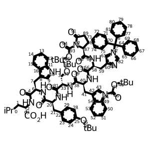 CC(C)C[C@H](NC(=O)[C@@H](Cc1c[nH]c2ccccc12)NC(=O)[C@H](Cc1ccc(OC(C)(C)C)cc1)NC(=O)[C@H](COC(C)(C)C)NC(=O)[C@H](Cc1cn(C(=O)OC(C)(C)C)c2ccccc12)NC(=O)[C@H](Cc1cn(C(c2ccccc2)(c2ccccc2)c2ccccc2)cn1)NC(=O)[C@@H]1CCC(=O)N1C(=O)OC(C)(C)C)C(=O)O